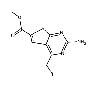 COC(=O)c1cc2c(CI)nc(N)nc2s1